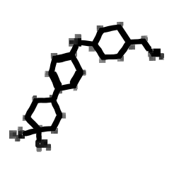 CC1(C)CCC(c2ccc(NC3CCC(CN)CC3)cc2)CC1